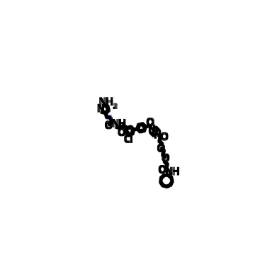 Nc1ccc(/C=C/C(=O)NCC2Cc3cc(-c4ccc(C(=O)N5CCN(C(=O)CCOCCOCCC(=O)NC6CCCCCCCC6)CC5)cc4)cc(Cl)c3O2)cn1